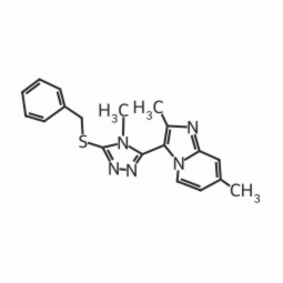 Cc1ccn2c(-c3nnc(SCc4ccccc4)n3C)c(C)nc2c1